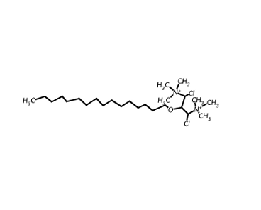 CCCCCCCCCCCCCCCCOC(C(Cl)[N+](C)(C)C)C(Cl)[N+](C)(C)C